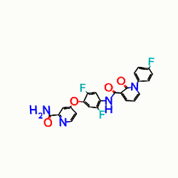 NC(=O)c1cc(Oc2cc(F)c(NC(=O)c3cccn(-c4ccc(F)cc4)c3=O)cc2F)ccn1